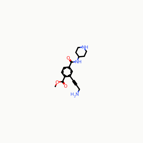 COC(=O)c1ccc(C(=O)NC2CCNCC2)cc1C#CCN